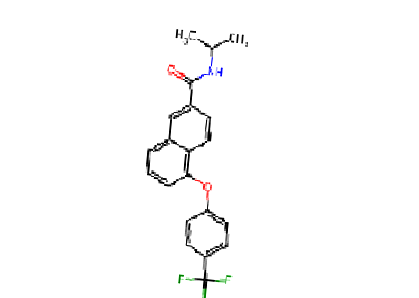 CC(C)NC(=O)c1ccc2c(Oc3ccc(C(F)(F)F)cc3)cccc2c1